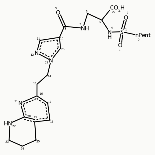 CCCCCS(=O)(=O)NC(CNC(=O)c1cnn(CCc2ccc3c(n2)NCCC3)c1)C(=O)O